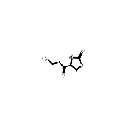 CCOC(=O)[C@@H]1COC(=O)N1